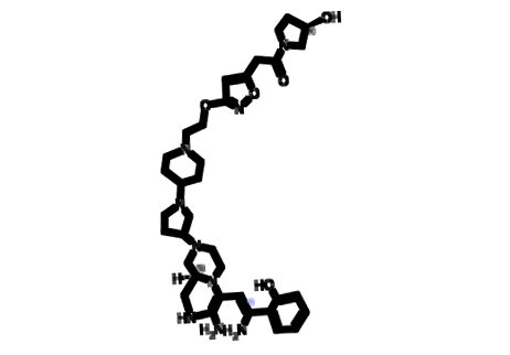 NC1=C(/C=C(\N)c2ccccc2O)N2CCN(C3CCN(C4CCN(CCOc5cc(CC(=O)N6CC[C@@H](O)C6)on5)CC4)C3)C[C@@H]2CN1